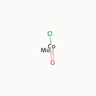 [Mo].[O]=[Co][Cl]